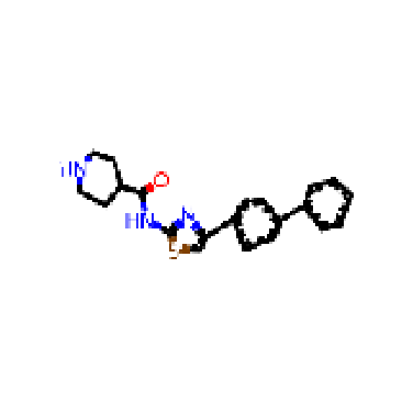 O=C(Nc1nc(-c2ccc(-c3ccccc3)cc2)cs1)C1CCNCC1